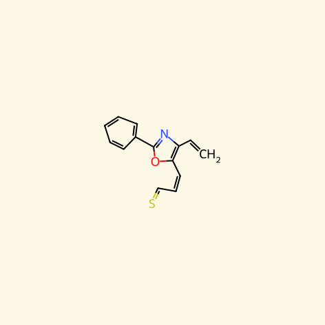 C=Cc1nc(-c2ccccc2)oc1/C=C\C=S